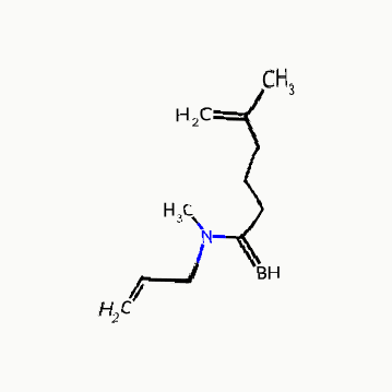 B=C(CCCC(=C)C)N(C)CC=C